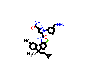 N#Cc1ccc(C([AsH2])(CCC2CC2)c2ccc(F)c(NC(=O)c3cc(C(N)=O)nn3-c3cccc(CN)c3)c2)cc1